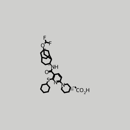 O=C(O)C[C@@H]1CCCN(c2ccc(C(=O)N[C@H]3CCC4CC5C[C@@](OC(F)F)(C4)CC53)c(SC3CCCCC3)n2)C1